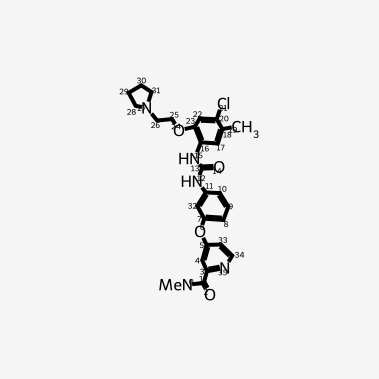 CNC(=O)c1cc(Oc2cccc(NC(=O)Nc3cc(C)c(Cl)cc3OCCN3CCCC3)c2)ccn1